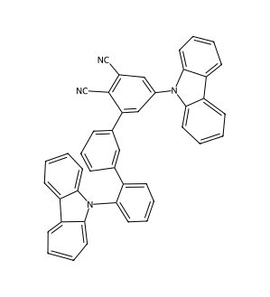 N#Cc1cc(-n2c3ccccc3c3ccccc32)cc(-c2cccc(-c3ccccc3-n3c4ccccc4c4ccccc43)c2)c1C#N